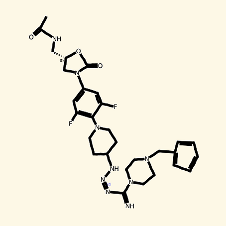 CC(=O)NC[C@H]1CN(c2cc(F)c(N3CCC(N/N=N\C(=N)N4CCN(Cc5ccccc5)CC4)CC3)c(F)c2)C(=O)O1